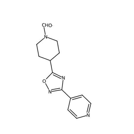 O=[C]N1CCC(c2nc(-c3ccncc3)no2)CC1